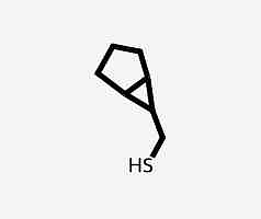 SCC1C2CCCC12